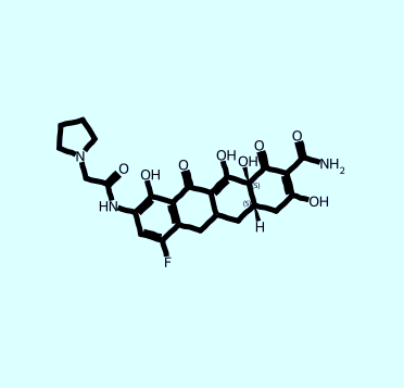 NC(=O)C1=C(O)C[C@@H]2CC3Cc4c(F)cc(NC(=O)CN5CCCC5)c(O)c4C(=O)C3=C(O)[C@]2(O)C1=O